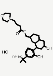 CCCCCCC(C)(C)c1ccc(C2CC(O)CC3CCC(COC(=O)CCCN4CCOCC4)CC32)c(O)c1.Cl